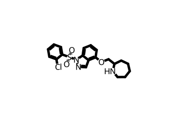 O=S(=O)(c1ccccc1Cl)n1ncc2c(OCC3CCCCCN3)cccc21